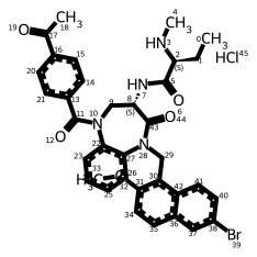 CC[C@H](NC)C(=O)N[C@H]1CN(C(=O)c2ccc(C(C)=O)cc2)c2ccccc2N(Cc2c(OC)ccc3cc(Br)ccc23)C1=O.Cl